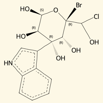 OC(Cl)[C@@]1(Br)O[C@H](O)[C@H](O)[C@](O)(c2c[nH]c3ccccc23)[C@H]1O